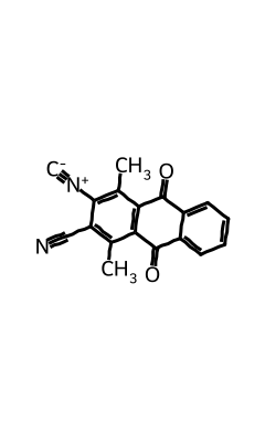 [C-]#[N+]c1c(C)c2c(c(C)c1C#N)C(=O)c1ccccc1C2=O